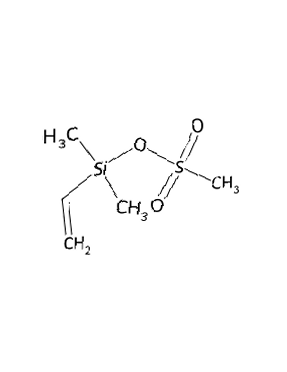 C=C[Si](C)(C)OS(C)(=O)=O